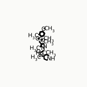 COc1cc(C)c(S(=O)(=O)Cc2c(C)nn(CC(=O)N(C)C3CCNCC3(C)C)c2C)c(C)c1